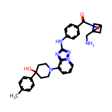 Cc1ccc(C2(O)CCN(c3cccn4nc(Nc5ccc(C(=O)N6CC7CC6(CN)C7)cc5)nc34)CC2)cc1